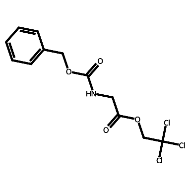 O=C(CNC(=O)OCc1ccccc1)OCC(Cl)(Cl)Cl